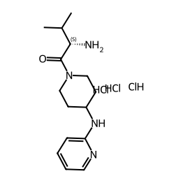 CC(C)[C@H](N)C(=O)N1CCC(Nc2ccccn2)CC1.Cl.Cl.Cl